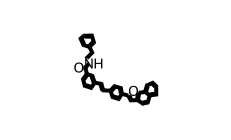 O=C(NCCc1ccccc1)c1cccc(C=Cc2ccc(-c3cc4ccc5ccccc5c4o3)cc2)c1